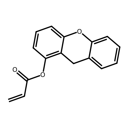 C=CC(=O)Oc1cccc2c1Cc1ccccc1O2